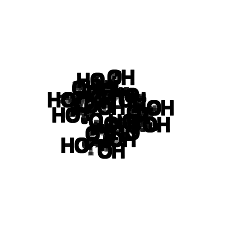 OC[C@H]1O[C@H](OC[C@H]2O[C@H](O[C@]3(CO)O[C@H](CO)[C@@H](O)[C@@H]3O)[C@H](O)[C@@H](O)[C@@H]2O)[C@H](O)[C@@H](O)[C@H]1O.OC[C@H]1O[C@](O)(CO)[C@@H](O)[C@@H]1O